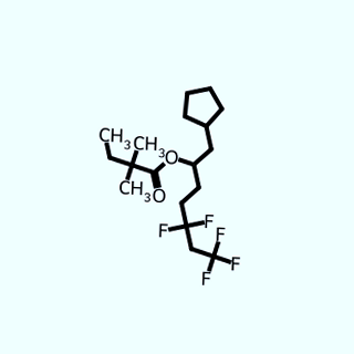 CCC(C)(C)C(=O)OC(CCC(F)(F)CC(F)(F)F)CC1CCCC1